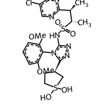 COc1cccc(OC)c1-n1c(NS(=O)(=O)[C@@H](C)[C@H](C)c2ncc(Cl)cn2)nnc1[C@@H]1CCS(O)(O)C1